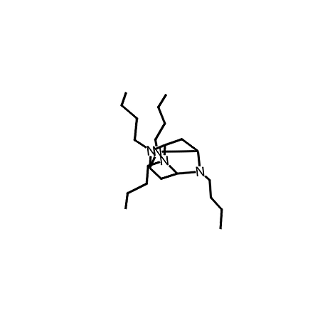 CCCCN1C2CC3N(CCCC)C1CC(N2CCCC)N3CCCC